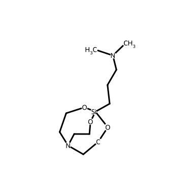 CN(C)CCC[Si]12OCCN(CCO1)CCO2